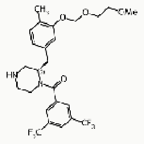 COCCOCOc1cc(C[C@@H]2CNCCN2C(=O)c2cc(C(F)(F)F)cc(C(F)(F)F)c2)ccc1C